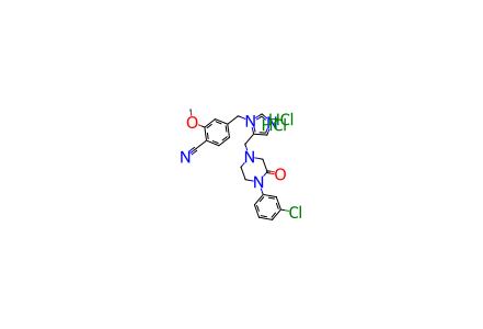 COc1cc(Cn2cncc2CN2CCN(c3cccc(Cl)c3)C(=O)C2)ccc1C#N.Cl.Cl